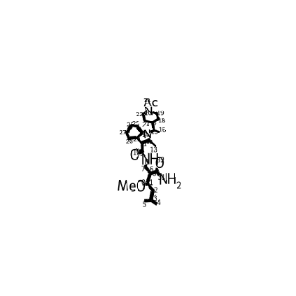 CO/C(C=C(C)C)=C(\CNC(=O)c1c(C)n(C(C)C2CCN(C(C)=O)CC2)c2ccccc12)C(N)=O